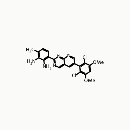 COc1cc(OC)c(Cl)c(-c2cnc3nc(-c4ccc(C)c(N)c4N)ncc3c2)c1Cl